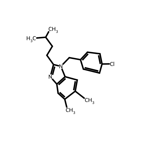 Cc1cc2nc(CCC(C)C)n(Cc3ccc(Cl)cc3)c2cc1C